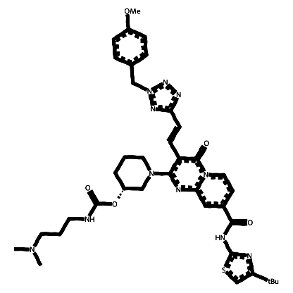 COc1ccc(Cn2nnc(C=Cc3c(N4CCC[C@@H](OC(=O)NCCCN(C)C)C4)nc4cc(C(=O)Nc5nc(C(C)(C)C)cs5)ccn4c3=O)n2)cc1